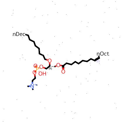 CCCCCCCC/C=C\CCCCCCCC(=O)OC[C@H](COP(=O)(O)OCC[N+](C)(C)C)OCCCCCCCCCCCCCCCCCC